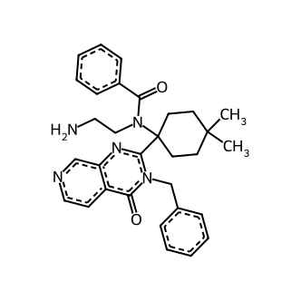 CC1(C)CCC(c2nc3cnccc3c(=O)n2Cc2ccccc2)(N(CCN)C(=O)c2ccccc2)CC1